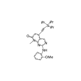 COc1ccccc1Nc1ncc2c(C#C[Si](C(C)C)(C(C)C)C(C)C)cc(=O)n(C)c2n1